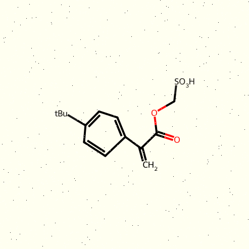 C=C(C(=O)OCS(=O)(=O)O)c1ccc(C(C)(C)C)cc1